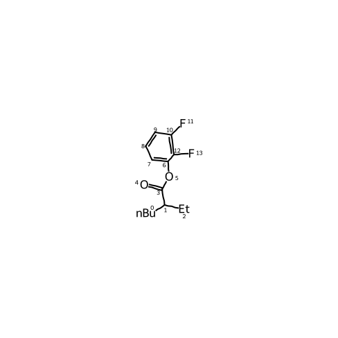 CCCCC(CC)C(=O)Oc1cccc(F)c1F